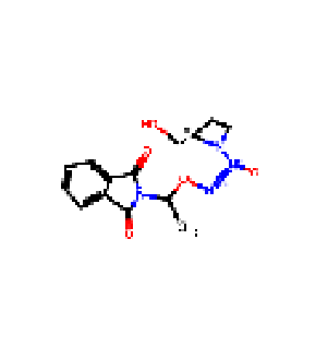 CC(O/N=[N+](/[O-])N1CC[C@H]1CO)N1C(=O)c2ccccc2C1=O